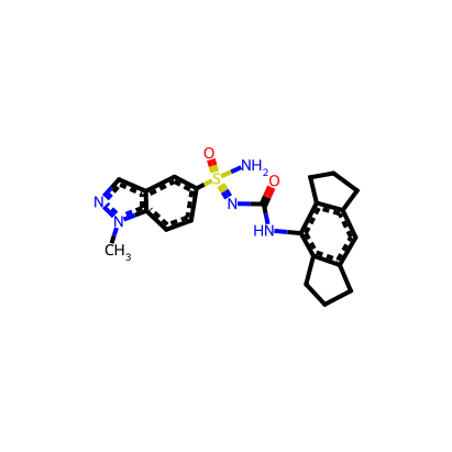 Cn1ncc2cc(S(N)(=O)=NC(=O)Nc3c4c(cc5c3CCC5)CCC4)ccc21